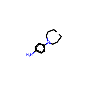 Nc1c[c]c(N2CCCCCCC2)cc1